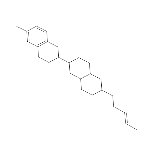 CC=CCCC1CCC2CC(C3CCc4cc(C)ccc4C3)CCC2C1